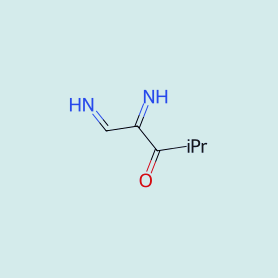 CC(C)C(=O)C(=N)C=N